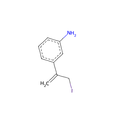 C=C(CI)c1cccc(N)c1